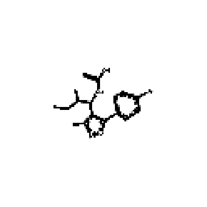 CCC(C)C(NC(=O)O)c1c(C)noc1-c1ccc(Br)cc1